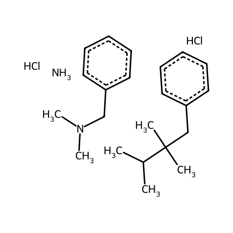 CC(C)C(C)(C)Cc1ccccc1.CN(C)Cc1ccccc1.Cl.Cl.N